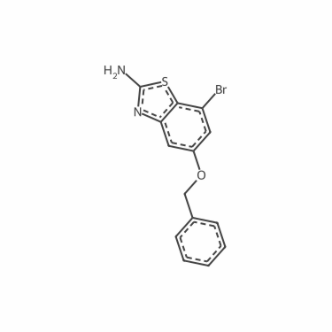 Nc1nc2cc(OCc3ccccc3)cc(Br)c2s1